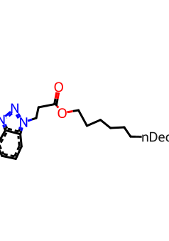 CCCCCCCCCCCCCCCCOC(=O)CCn1nnc2ccccc21